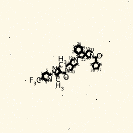 Cc1nn(-c2ccc(C(F)(F)F)cn2)c(C)c1C(=O)N1CC2CN(CCC3(c4ccccc4)CCN(C(=O)C4CCCC4)C3)CC2C1